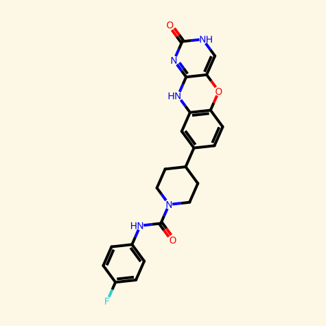 O=C(Nc1ccc(F)cc1)N1CCC(c2ccc3c(c2)Nc2nc(=O)[nH]cc2O3)CC1